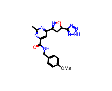 COc1ccc(CNC(=O)c2cc(C3=NOC(c4nn[nH]n4)C3)nc(C)n2)cc1